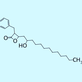 CCCCCCCCCCCC(O)CC1OC(=O)C1Cc1ccccc1